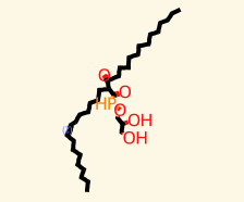 CCCCCCCC/C=C\CCCCCCC(C(=O)CCCCCCCCCCCCC)C(=O)POCC(O)CO